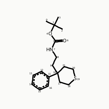 CC(C)(C)OC(=O)NCCC1(c2ccccc2)CCSCC1